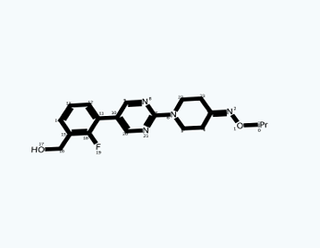 CC(C)ON=C1CCN(c2ncc(-c3cccc(CO)c3F)cn2)CC1